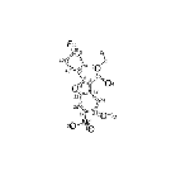 CCOC(=O)c1c(-c2ccc(F)cc2)oc2cc([N+](=O)[O-])c(OC)cc12